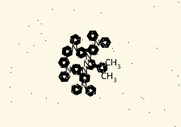 Cc1cc(C)cc(-c2cc(-n3c4ccc(N(c5ccccc5)c5ccccc5)cc4c4cc(N(c5ccccc5)c5ccccc5)ccc43)nc(-n3c4ccc(N(c5ccccc5)c5ccccc5)cc4c4cc(N(c5ccccc5)c5ccccc5)ccc43)c2)c1